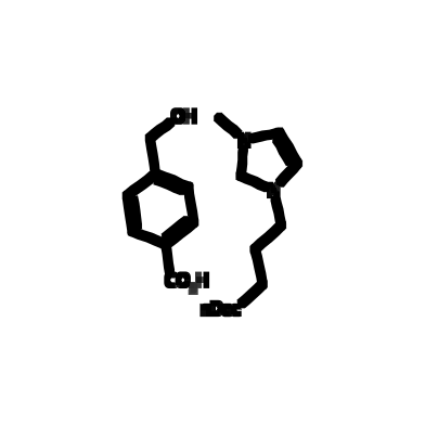 CCCCCCCCCCCCCN1C=CN(C)C1.O=C(O)c1ccc(CO)cc1